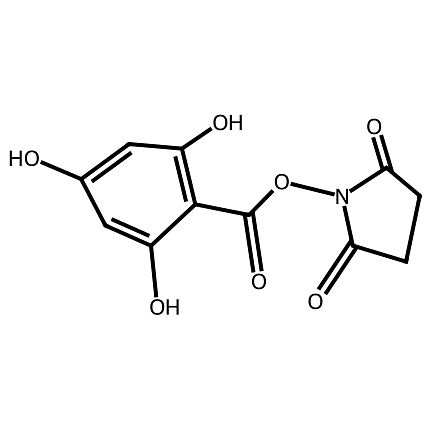 O=C(ON1C(=O)CCC1=O)c1c(O)cc(O)cc1O